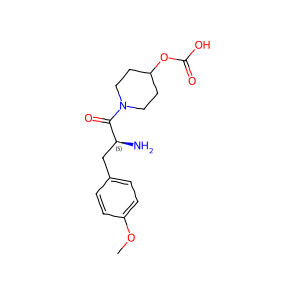 COc1ccc(C[C@H](N)C(=O)N2CCC(OC(=O)O)CC2)cc1